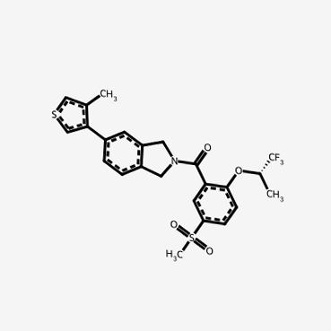 Cc1cscc1-c1ccc2c(c1)CN(C(=O)c1cc(S(C)(=O)=O)ccc1O[C@@H](C)C(F)(F)F)C2